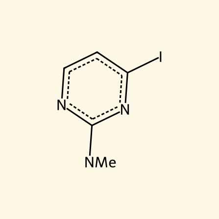 CNc1nccc(I)n1